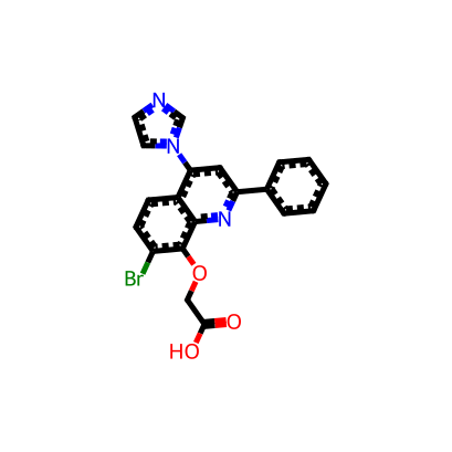 O=C(O)COc1c(Br)ccc2c(-n3ccnc3)cc(-c3ccccc3)nc12